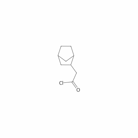 O=C(Cl)CC1CC2CCC1C2